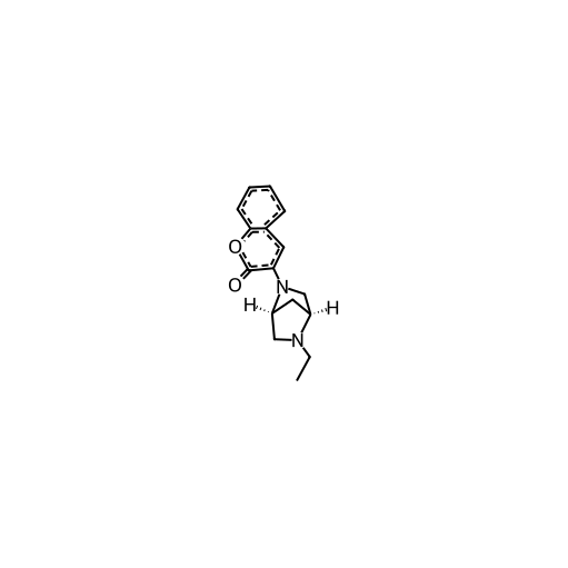 CCN1C[C@@H]2C[C@H]1CN2c1cc2ccccc2oc1=O